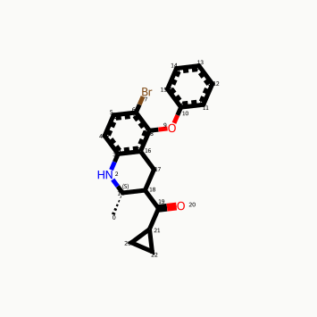 C[C@@H]1Nc2ccc(Br)c(Oc3ccccc3)c2CC1C(=O)C1CC1